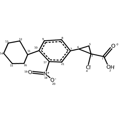 O=C(O)C1(Cl)CC1c1ccc(C2CCCCC2)c([N+](=O)[O-])c1